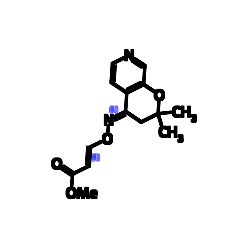 COC(=O)/C=C/O/N=C1\CC(C)(C)Oc2cnccc21